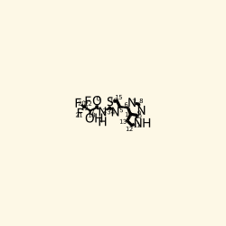 O=C(Nc1nc(-c2ncnc3[nH]ccc23)cs1)C(O)C(F)(F)F